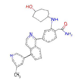 Cc1cncc(-c2cccc3c(-c4ccc(C(N)=O)c(NC5CCC(O)CC5)c4)nccc23)c1